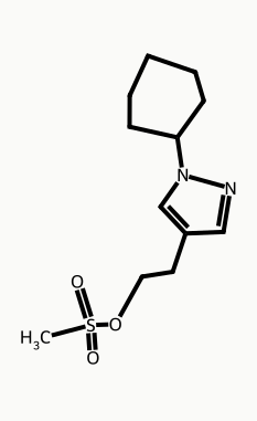 CS(=O)(=O)OCCc1cnn(C2CCCCC2)c1